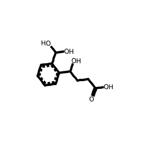 O=C(O)CCC(O)c1ccccc1C(O)O